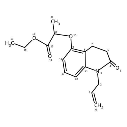 C=CCN1C(=O)CCc2c(OC(C)C(=O)OCC)cccc21